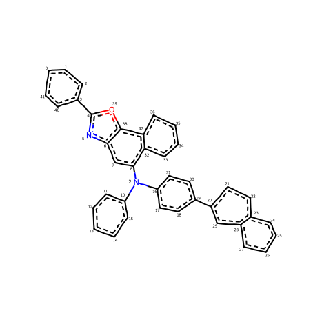 c1ccc(-c2nc3cc(N(c4ccccc4)c4ccc(-c5ccc6ccccc6c5)cc4)c4ccccc4c3o2)cc1